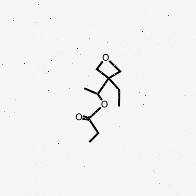 CCC(=O)OC(C)C1(CC)COC1